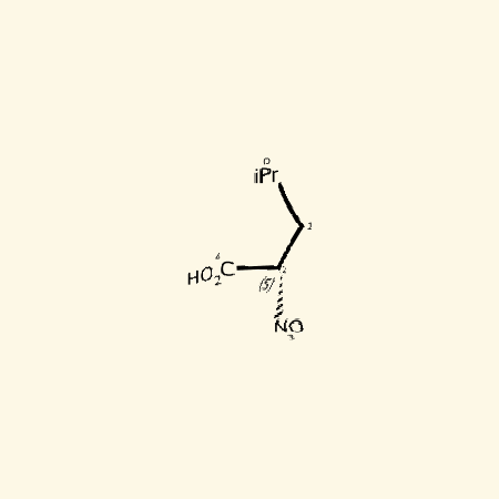 CC(C)C[C@H](N=O)C(=O)O